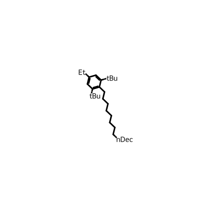 [CH2]CCCCCCCCCCCCCCCCCc1c(C(C)(C)C)cc(CC)cc1C(C)(C)C